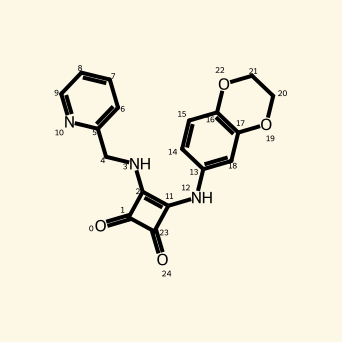 O=c1c(NCc2ccccn2)c(Nc2ccc3c(c2)OCCO3)c1=O